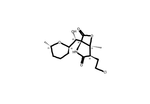 C[C@H]1CCC[C@H]([C@H](O)[C@@]23NC(=O)[C@H](CCCl)[C@]2(C)OC3=O)O1